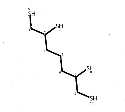 SCC(S)CCCC(S)CS